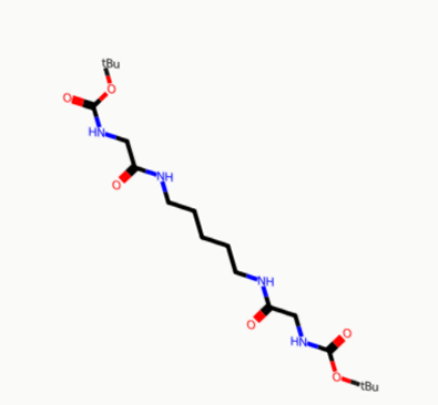 CC(C)(C)OC(=O)NCC(=O)NCCCCCNC(=O)CNC(=O)OC(C)(C)C